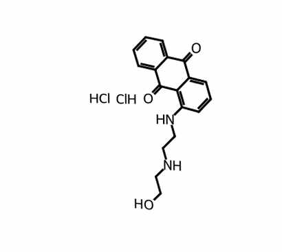 Cl.Cl.O=C1c2ccccc2C(=O)c2c(NCCNCCO)cccc21